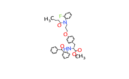 CCCC(=O)N(CCCOc1ccc(C[C@H](Nc2ccccc2C(=O)c2ccccc2)C(=O)OC)cc1)c1ccccc1F